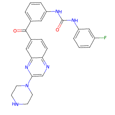 O=C(Nc1cccc(F)c1)Nc1cccc(C(=O)c2ccc3ncc(N4CCNCC4)nc3c2)c1